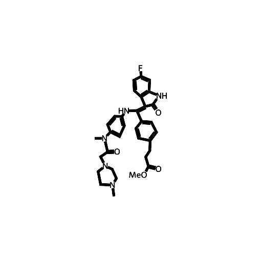 COC(=O)CCc1ccc(C(Nc2ccc(N(C)C(=O)CN3CCN(C)CC3)cc2)=C2C(=O)Nc3cc(F)ccc32)cc1